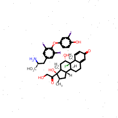 C[C@@H]1C[C@H]2[C@@H]3CCC4=CC(=O)C=C[C@]4(C)[C@@]3(F)[C@@H](O)C[C@]2(C)[C@@]1(O)C(=O)CO.N[C@@H](Cc1cc(I)c(Oc2ccc(O)c(I)c2)c(I)c1)C(=O)O